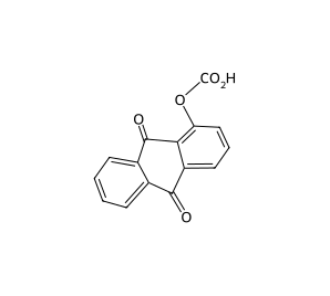 O=C(O)Oc1cccc2c1C(=O)c1ccccc1C2=O